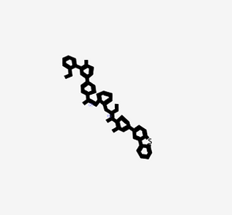 CC/C(Cc1ccccc1/C=C(/C)c1ccc(-c2ccc(C)c(-c3ccccc3CC)c2)cc1)=C(/C)c1ccc(-c2ccc3sc4ccccc4c3c2)cc1C